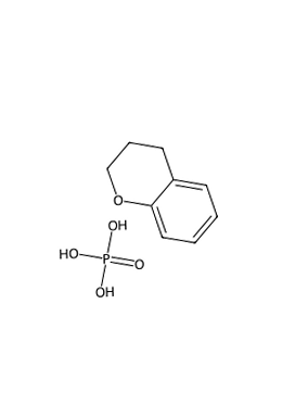 O=P(O)(O)O.c1ccc2c(c1)CCCO2